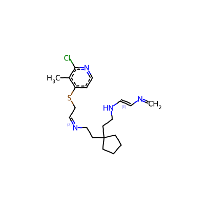 C=N/C=C/NCCC1(CC/N=C\CSc2ccnc(Cl)c2C)CCCC1